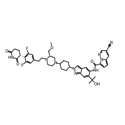 COC[C@H]1CN(C2CCC(n3cc4cc(NC(=O)c5ccc6cc(C#N)cnn56)c(C(C)(C)O)cc4n3)CC2)CCN1CCc1cc(F)c([C@H]2CCC(=O)NC2=O)c(F)c1